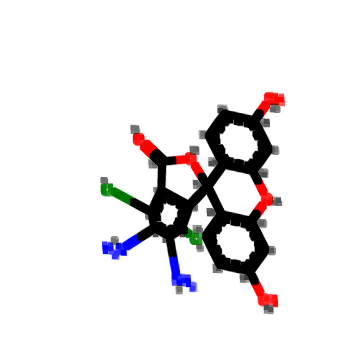 Nc1c(N)c(Cl)c2c(c1Cl)C(=O)OC21c2ccc(O)cc2Oc2cc(O)ccc21